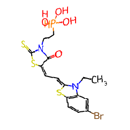 CCN1/C(=C/C=C2/SC(=S)N(CC[PH](O)(O)O)C2=O)Sc2ccc(Br)cc21